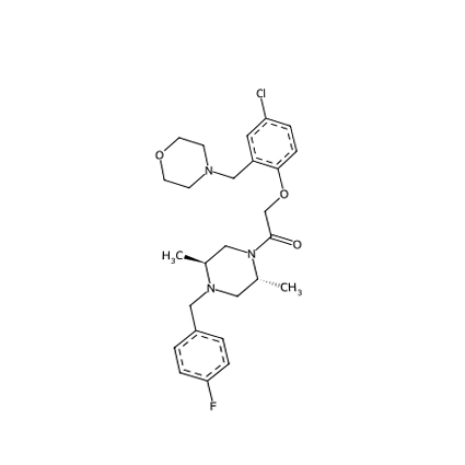 C[C@@H]1CN(Cc2ccc(F)cc2)[C@@H](C)CN1C(=O)COc1ccc(Cl)cc1CN1CCOCC1